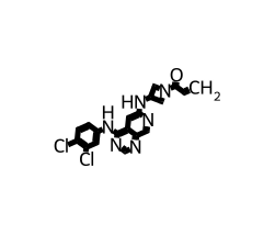 C=CC(=O)N1CC(Nc2cc3c(Nc4ccc(Cl)c(Cl)c4)ncnc3cn2)C1